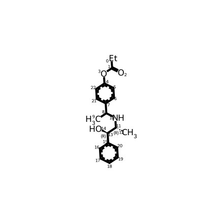 CCC(=O)Oc1ccc(C(C)N[C@H](C)[C@H](O)c2ccccc2)cc1